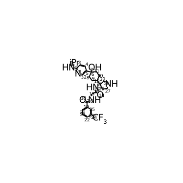 CC(C)Nc1ccc(C2(O)CCC([C@]3(NC(=O)CNC(=O)c4cccc(C(F)(F)F)c4)CCNC3)CC2)cn1